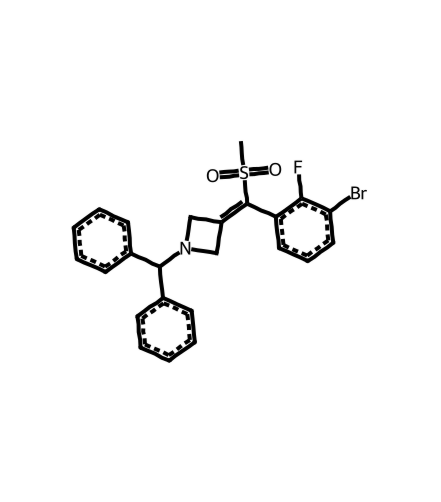 CS(=O)(=O)C(=C1CN(C(c2ccccc2)c2ccccc2)C1)c1cccc(Br)c1F